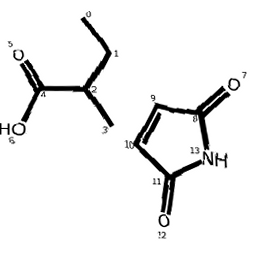 CCC(C)C(=O)O.O=C1C=CC(=O)N1